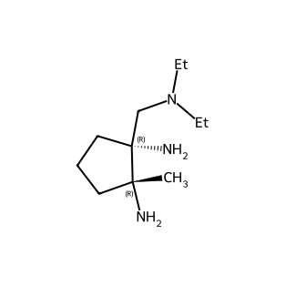 CCN(CC)C[C@]1(N)CCC[C@@]1(C)N